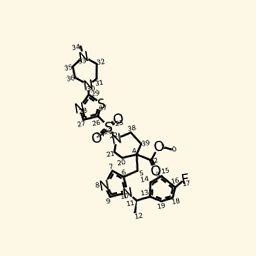 COC(=O)C1(Cc2cncn2[C@H](C)c2ccc(F)cc2)CCN(S(=O)(=O)c2cnc(N3CCN(C)CC3)s2)CC1